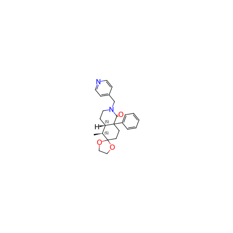 C[C@H]1[C@@H]2CCN(Cc3ccncc3)C(=O)C2(c2ccccc2)CCC12OCCO2